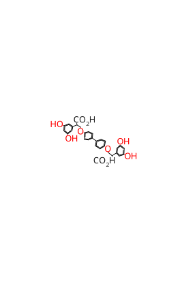 O=C(O)C(COc1ccc(-c2ccc(OCC(C(=O)O)c3cc(O)cc(O)c3)cc2)cc1)c1cc(O)cc(O)c1